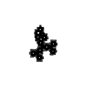 O=c1c2ccccc2ccc2ccc(-c3ccc(N(c4ccc(N(c5ccccc5)c5ccccc5)cc4)c4ccc(N(c5ccccc5)c5ccccc5)cc4)cc3-c3ccccc3)cc12